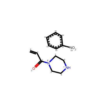 C=CC(=O)N1CCNCC1.O=[N+]([O-])c1ccccc1